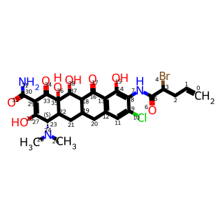 C=CCC(Br)C(=O)Nc1c(Cl)cc2c(c1O)C(=O)C1C(C2)CC2[C@H](N(C)C)C(O)=C(C(N)=O)C(=O)C2(O)C1O